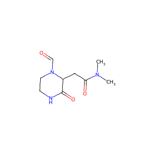 CN(C)C(=O)CC1C(=O)NCCN1C=O